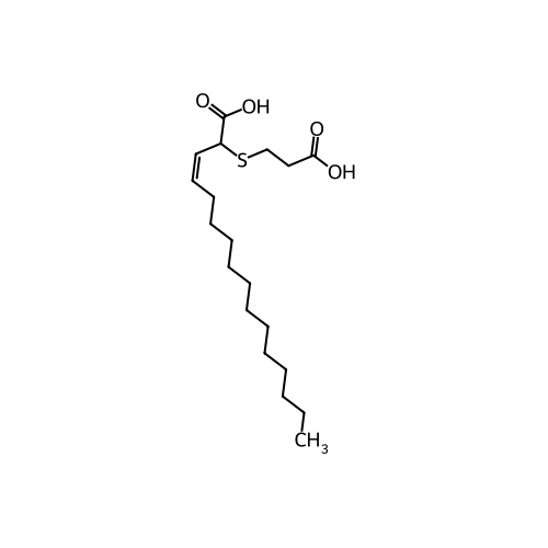 CCCCCCCCCCCC/C=C\C(SCCC(=O)O)C(=O)O